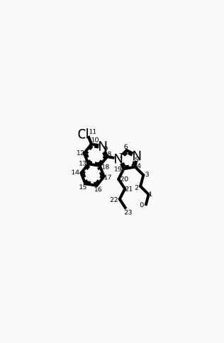 CCCCc1ncn(-c2nc(Cl)cc3ccccc23)c1CCCC